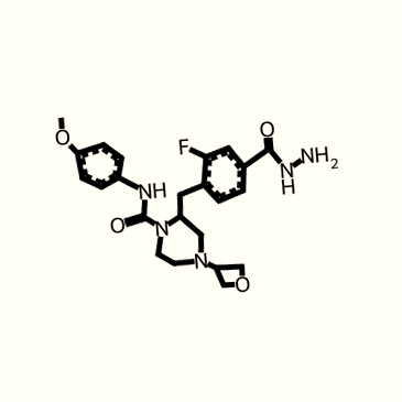 COc1ccc(NC(=O)N2CCN(C3COC3)CC2Cc2ccc(C(=O)NN)cc2F)cc1